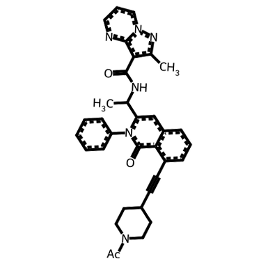 CC(=O)N1CCC(C#Cc2cccc3cc(C(C)NC(=O)c4c(C)nn5cccnc45)n(-c4ccccc4)c(=O)c23)CC1